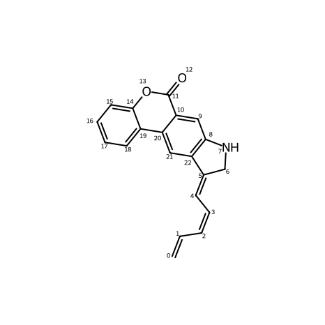 C=C/C=C\C=C1/CNc2cc3c(=O)oc4ccccc4c3cc21